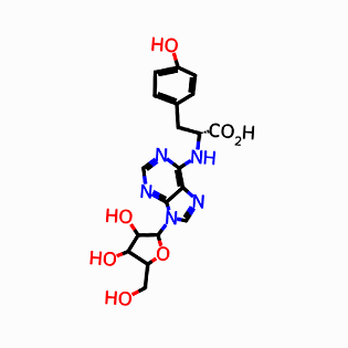 O=C(O)[C@@H](Cc1ccc(O)cc1)Nc1ncnc2c1ncn2C1OC(CO)C(O)C1O